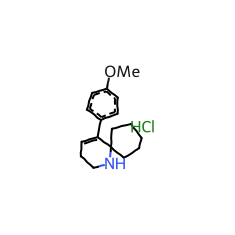 COc1ccc(C2=CCCNC23CCCCC3)cc1.Cl